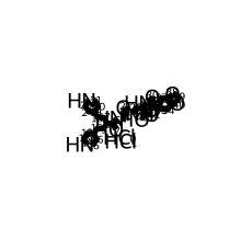 Cl.Cl.O=C(CNC(=O)C(CCC1CCNCC1)CCC1CCNCC1)NCC(NS(=O)(=O)c1ccc2c(c1)OCO2)C(=O)O